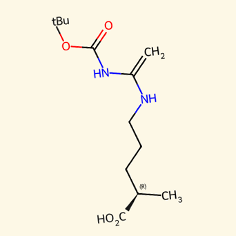 C=C(NCCC[C@@H](C)C(=O)O)NC(=O)OC(C)(C)C